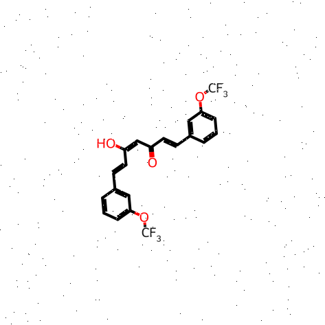 O=C(/C=C/c1cccc(OC(F)(F)F)c1)/C=C(O)\C=C\c1cccc(OC(F)(F)F)c1